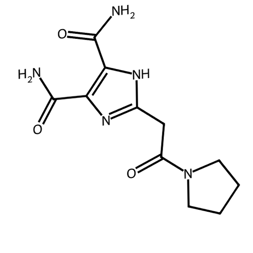 NC(=O)c1nc(CC(=O)N2CCCC2)[nH]c1C(N)=O